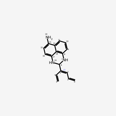 C=C/C=C(\C=C)C1Nc2cccc3c(N)ccc(c23)N1